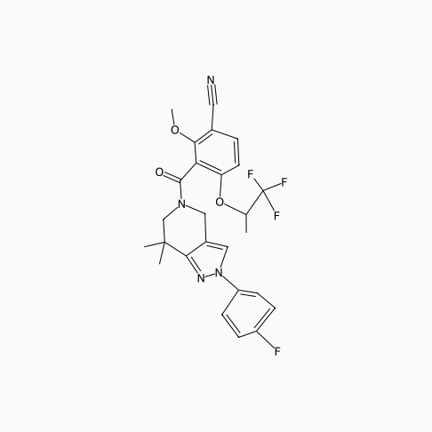 COc1c(C#N)ccc(OC(C)C(F)(F)F)c1C(=O)N1Cc2cn(-c3ccc(F)cc3)nc2C(C)(C)C1